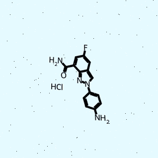 Cl.NC(=O)c1cc(F)cc2cn(-c3ccc(N)cc3)nc12